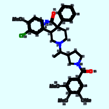 COc1ccc(C2CN(C(C)C3CCN(C(=O)c4cc(OC)c(OC)c(OC)c4)C3)CCC2(C(N)=O)c2ccccc2)cc1Cl